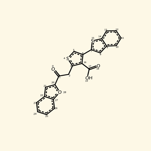 O=C(Cc1scc(-c2cc3ccccc3s2)c1C(=O)O)c1cc2ccccc2o1